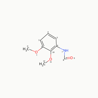 COc1cccc(NC=O)c1OC